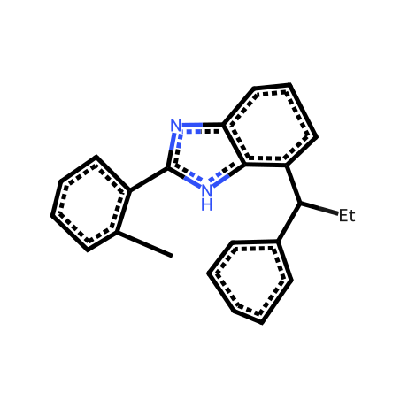 CCC(c1ccccc1)c1cccc2nc(-c3ccccc3C)[nH]c12